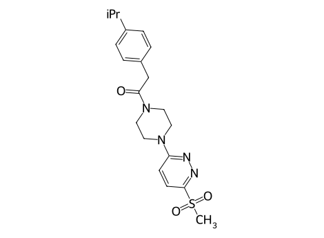 CC(C)c1ccc(CC(=O)N2CCN(c3ccc(S(C)(=O)=O)nn3)CC2)cc1